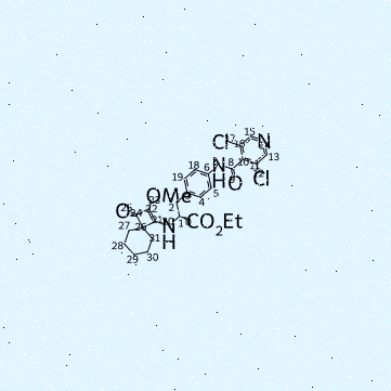 CCOC(=O)[C@H](Cc1ccc(NC(=O)c2c(Cl)cncc2Cl)cc1)NC1=C(OC)C(=O)C12CCCCC2